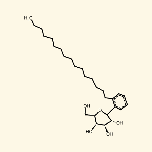 CCCCCCCCCCCCCCCCc1ccccc1[C]1O[C@H](CO)[C@H](O)[C@H](O)[C@H]1O